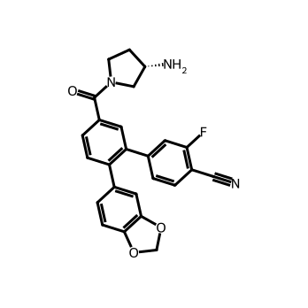 N#Cc1ccc(-c2cc(C(=O)N3CC[C@H](N)C3)ccc2-c2ccc3c(c2)OCO3)cc1F